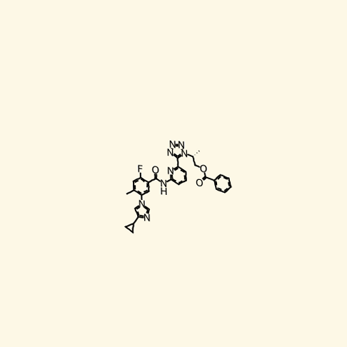 Cc1cc(F)c(C(=O)Nc2cccc(-c3nnnn3[C@H](C)COC(=O)c3ccccc3)n2)cc1-n1cnc(C2CC2)c1